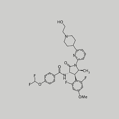 COc1cc(F)c([C@H]2[C@H](NC(=O)c3ccc(OC(F)F)cc3)C(=O)N(c3cccc(C4CCN(CCO)CC4)n3)[C@H]2C)c(F)c1